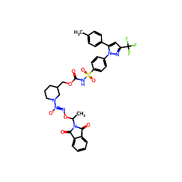 Cc1ccc(-c2cc(C(F)(F)F)nn2-c2ccc(S(=O)(=O)NC(=O)OCC3CCCN([N+]([O-])=NOC(C)N4C(=O)c5ccccc5C4=O)C3)cc2)cc1